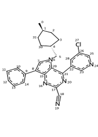 C[C@H]1CC[C@H](Cn2cc(-c3ccccc3)c3nc(C#N)nc(-c4cncc(Cl)c4)c32)CC1